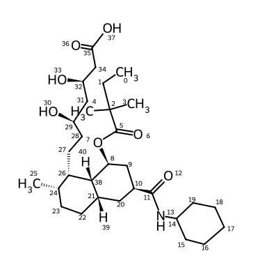 CCC(C)(C)C(=O)O[C@H]1C[C@@H](C(=O)NC2CCCCC2)C[C@@H]2CC[C@H](C)[C@H](CC[C@@H](O)C[C@@H](O)CC(=O)O)[C@@H]21